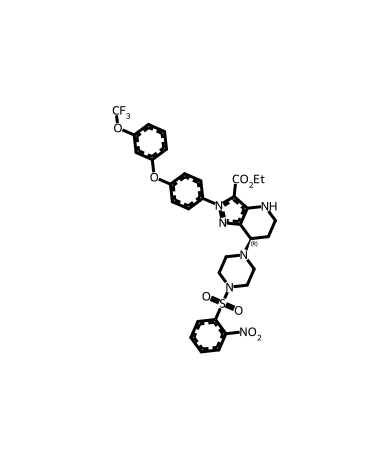 CCOC(=O)c1c2c(nn1-c1ccc(Oc3cccc(OC(F)(F)F)c3)cc1)[C@H](N1CCN(S(=O)(=O)c3ccccc3[N+](=O)[O-])CC1)CCN2